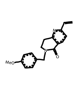 C=Cc1ccc2c(n1)CCN(Cc1ccc(OC)cc1)C2=O